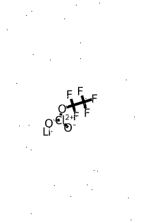 [Li].[O-][Cl+2]([O-])OC(F)(F)C(F)(F)F